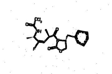 C[C@H](/C=C(/F)[C@H](C)NC(=O)C(Cl)(Cl)Cl)C(=O)N1C(=O)OC[C@H]1Cc1ccccc1